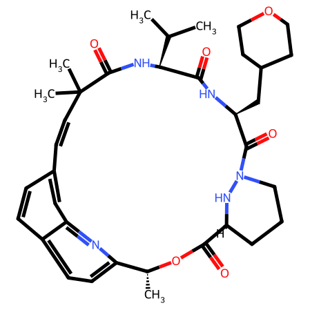 CC(C)[C@@H]1NC(=O)C(C)(C)/C=C/c2ccc3ccc(nc3c2)[C@@H](C)OC(=O)[C@@H]2CCCN(N2)C(=O)[C@H](CC2CCOCC2)NC1=O